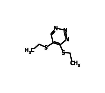 CCSc1cnnnc1SCC